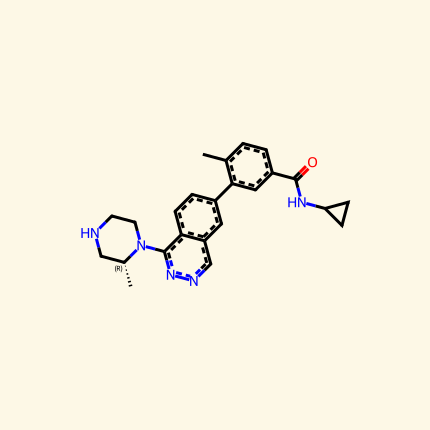 Cc1ccc(C(=O)NC2CC2)cc1-c1ccc2c(N3CCNC[C@H]3C)nncc2c1